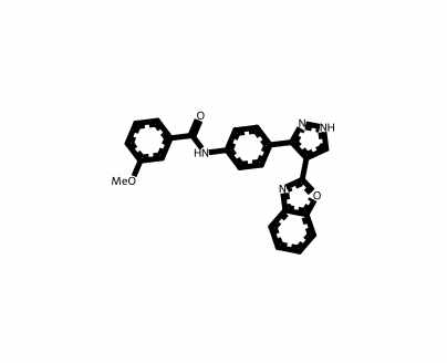 COc1cccc(C(=O)Nc2ccc(-c3n[nH]cc3-c3nc4ccccc4o3)cc2)c1